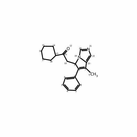 CC1=C(c2ccccc2)C(CC(=O)C2CCCCC2)n2cncc21